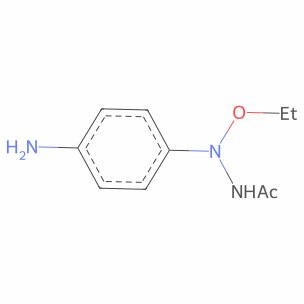 CCON(NC(C)=O)c1ccc(N)cc1